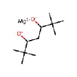 CC(C)(C)C([O-])CC([O-])C(C)(C)C.[Mg+2]